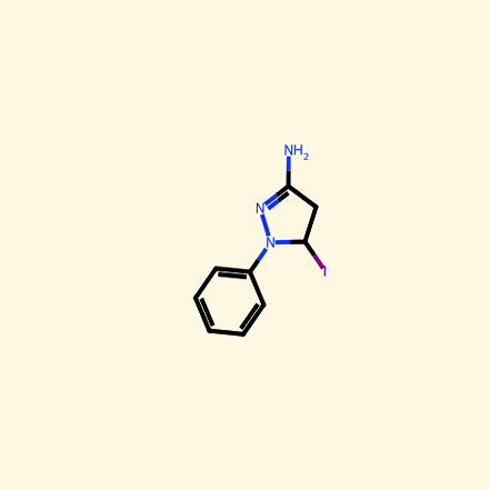 NC1=NN(c2ccccc2)C(I)C1